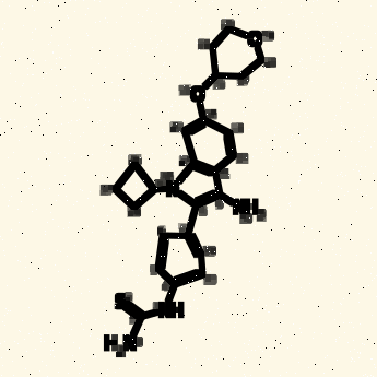 NC(=S)Nc1ccc(-c2c(N)c3ccc(OC4CCOCC4)cc3n2C2CCC2)cc1